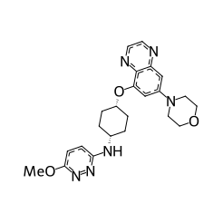 COc1ccc(N[C@H]2CC[C@@H](Oc3cc(N4CCOCC4)cc4nccnc34)CC2)nn1